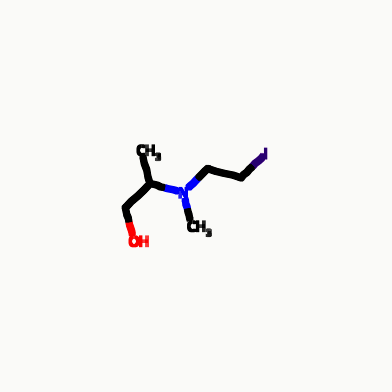 CC(CO)N(C)CCI